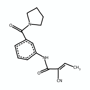 CC=C(C#N)C(=O)Nc1cccc(C(=O)N2CCCC2)c1